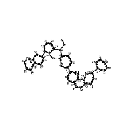 CCC(c1ccc(-c2ccc3ccc4ccc(-c5ccccc5)nc4c3n2)cc1)c1cccc(-c2ccc3cccnc3c2)c1C